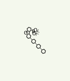 CC1(C)OB(c2cccc3oc4ccc(-c5ccc(-c6ccc(-c7ccccc7)cc6)cc5)cc4c23)OC1(C)C